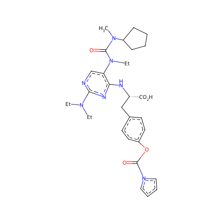 CCN(CC)c1ncc(N(CC)C(=O)N(C)C2CCCC2)c(N[C@@H](Cc2ccc(OC(=O)n3cccc3)cc2)C(=O)O)n1